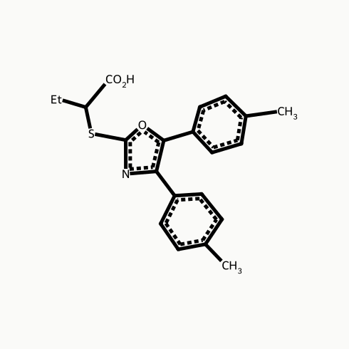 CCC(Sc1nc(-c2ccc(C)cc2)c(-c2ccc(C)cc2)o1)C(=O)O